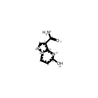 NC(=O)c1cnn2ccc(O)nc12